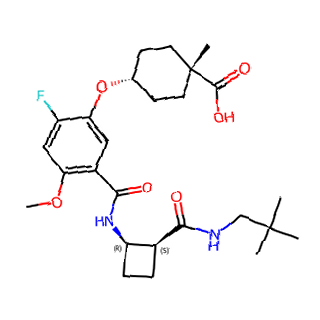 COc1cc(F)c(O[C@H]2CC[C@@](C)(C(=O)O)CC2)cc1C(=O)N[C@@H]1CC[C@@H]1C(=O)NCC(C)(C)C